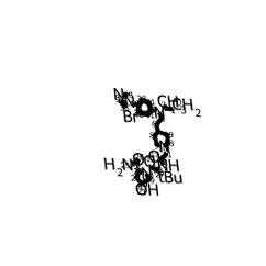 C=CC(C)N(CCC1CCN(CC(=O)N[C@H](C(=O)N2C[C@H](O)C[C@H]2C(N)=O)C(C)(C)C)CC1)c1ccc(-n2ccnc2)c(Br)c1